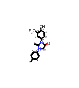 C=C1N(c2ccc(C)cc2)CC(=O)N1c1ccc(C#N)c(C(F)(F)F)c1